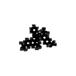 CC(C)(C)c1ccc2cc(OP(Oc3ccccc3)Oc3cc4ccc(C(C)(C)C)cc4cc3C(C)(C)C)c(C(C)(C)C)cc2c1